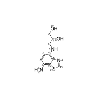 Nc1ccc(NCC(O)CO)c2ncsc12